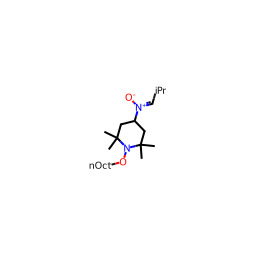 CCCCCCCCON1C(C)(C)CC([N+]([O-])=CC(C)C)CC1(C)C